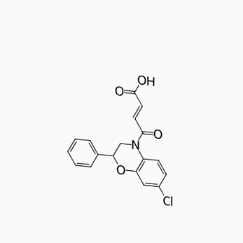 O=C(O)C=CC(=O)N1CC(c2ccccc2)Oc2cc(Cl)ccc21